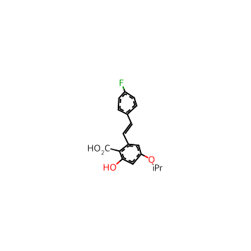 CC(C)Oc1cc(O)c(C(=O)O)c(C=Cc2ccc(F)cc2)c1